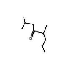 CCCC(C)C(=O)CC(C)C